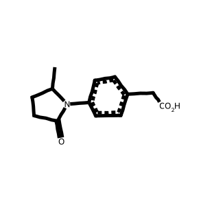 CC1CCC(=O)N1c1ccc(CC(=O)O)cc1